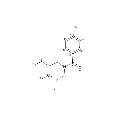 CCCN(CC(CC)OC)C(=O)c1ccc(C)cc1